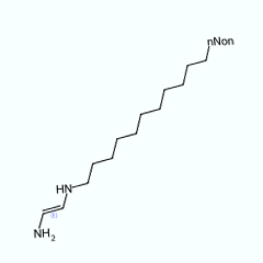 CCCCCCCCCCCCCCCCCCCCN/C=C/N